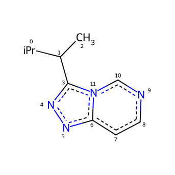 CC(C)C(C)c1nnc2ccncn12